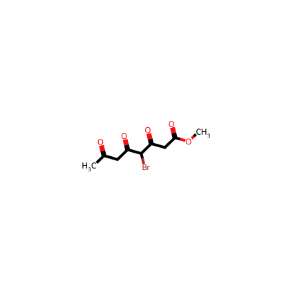 COC(=O)CC(=O)C(Br)C(=O)CC(C)=O